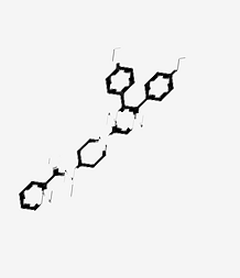 O=C(NC1CCN(c2cnc(-c3ccc(F)cc3)c(-c3ccc(F)cc3)n2)CC1)c1ccccn1